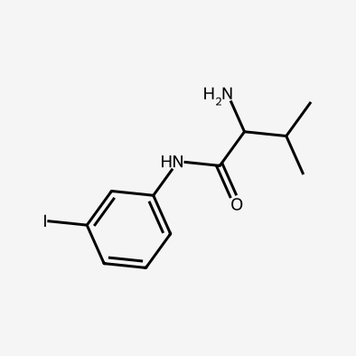 CC(C)C(N)C(=O)Nc1cccc(I)c1